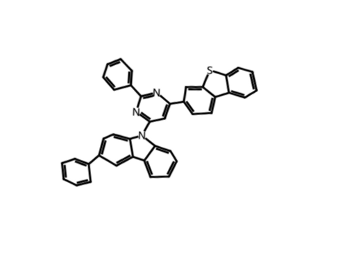 c1ccc(-c2ccc3c(c2)c2ccccc2n3-c2cc(-c3ccc4c(c3)sc3ccccc34)nc(-c3ccccc3)n2)cc1